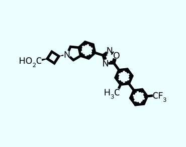 Cc1cc(-c2nc(-c3ccc4c(c3)CN([C@H]3C[C@H](C(=O)O)C3)C4)no2)ccc1-c1cccc(C(F)(F)F)c1